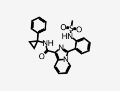 CS(=O)(=O)Nc1ccccc1-c1nc(C(=O)NC2(c3ccccc3)CC2)c2ccccn12